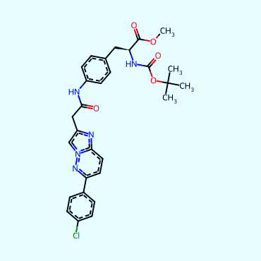 COC(=O)[C@H](Cc1ccc(NC(=O)Cc2cn3nc(-c4ccc(Cl)cc4)ccc3n2)cc1)NC(=O)OC(C)(C)C